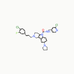 O=C(NCc1ccnc(Cl)c1)n1c2c(c3cc(N4CCCC4)ccc31)CN(C/C=C/c1ccc(Cl)c(F)c1)CC2